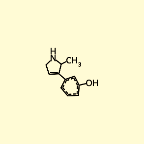 CC1NCC=C1c1cccc(O)c1